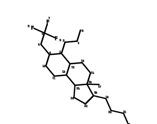 CCCC1C(CC(F)(F)F)CCC2C1CCC1(C)C(CCCF)CCC21